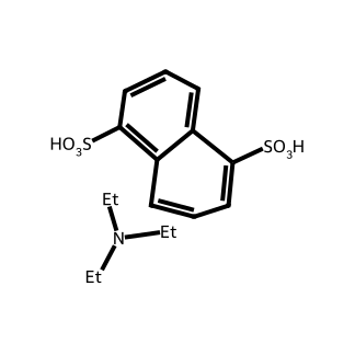 CCN(CC)CC.O=S(=O)(O)c1cccc2c(S(=O)(=O)O)cccc12